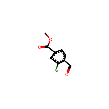 COC(=O)c1ccc(C=O)c(Br)c1